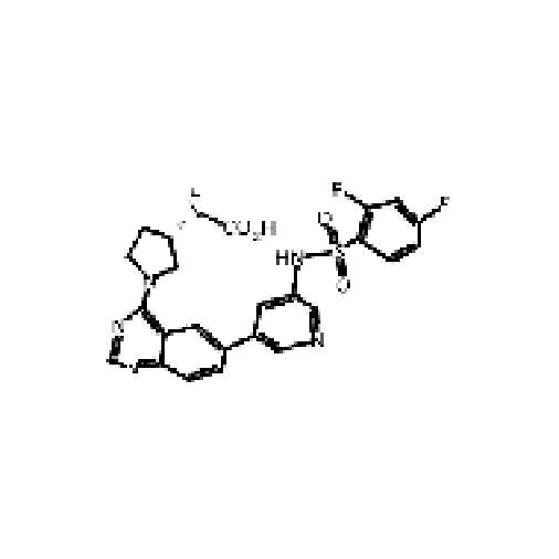 O=C(O)N[C@H]1CCN(c2ncnc3ccc(-c4cncc(NS(=O)(=O)c5ccc(F)cc5F)c4)cc23)C1